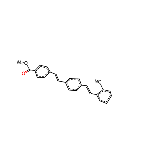 COC(=O)c1ccc(C=Cc2ccc(C=Cc3ccccc3C#N)cc2)cc1